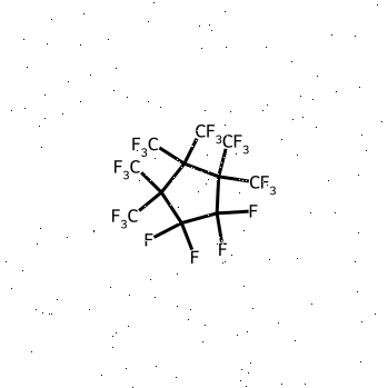 FC(F)(F)C1(C(F)(F)F)C(F)(F)C(F)(F)C(C(F)(F)F)(C(F)(F)F)C1(C(F)(F)F)C(F)(F)F